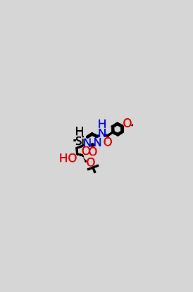 COc1ccc(C(=O)Nc2ccn([C@@]3([SiH](C)C)C[C@H](O)[C@@H](COC(C)(C)C)O3)c(=O)n2)cc1